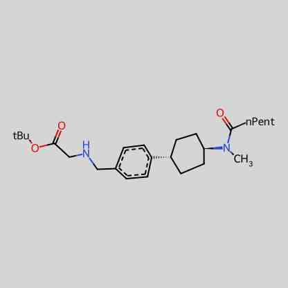 CCCCCC(=O)N(C)[C@H]1CC[C@H](c2ccc(CNCC(=O)OC(C)(C)C)cc2)CC1